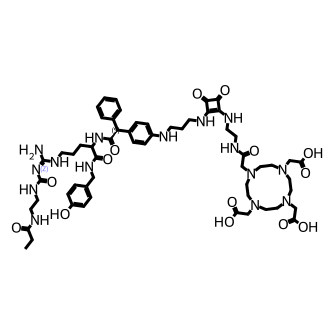 CCC(=O)NCCNC(=O)/N=C(/N)NCCCC(NC(=O)[C@@H](c1ccccc1)c1ccc(NCCCNc2c(NCCNC(=O)CN3CCN(CC(=O)O)CCN(CC(=O)O)CCN(CC(=O)O)CC3)c(=O)c2=O)cc1)C(=O)NCc1ccc(O)cc1